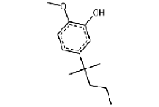 CCCC(C)(C)c1ccc(OC)c(O)c1